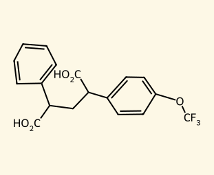 O=C(O)C(CC(C(=O)O)c1ccc(OC(F)(F)F)cc1)c1ccccc1